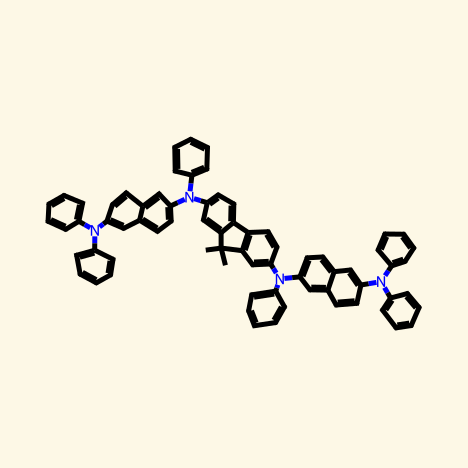 CC1(C)c2cc(N(c3ccccc3)c3ccc4cc(N(c5ccccc5)c5ccccc5)ccc4c3)ccc2-c2ccc(N(c3ccccc3)c3ccc4cc(N(c5ccccc5)c5ccccc5)ccc4c3)cc21